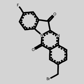 O=C1c2cc(F)ccc2-n2c1nc1ccc(CBr)cc1c2=O